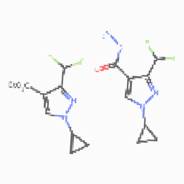 CCOC(=O)c1cn(C2CC2)nc1C(F)F.NNC(=O)c1cn(C2CC2)nc1C(F)F